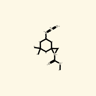 COC(=O)N1CC12CC(N=C=O)CC(C)(C)C2